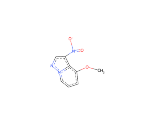 COc1cccn2ncc([N+](=O)[O-])c12